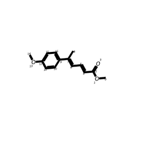 COC(=O)/C=C/C=C(\C)c1ccc(OC)cc1